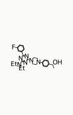 CCN(CC)c1nc(-c2cccc(F)c2)nc(N2CCN(c3ccc(C(C)O)cc3)CC2)n1